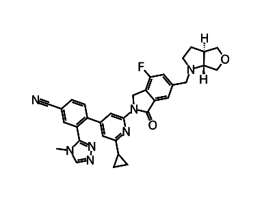 Cn1cnnc1-c1cc(C#N)ccc1-c1cc(C2CC2)nc(N2Cc3c(F)cc(CN4CC[C@H]5COC[C@@H]54)cc3C2=O)c1